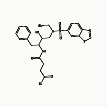 CCC(=O)CCC(=O)NC(Cc1ccccc1)C(O)CN(CC(C)CC)S(=O)(=O)c1ccc2ncsc2c1